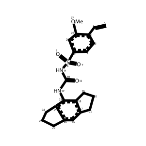 C=Cc1ccc(S(=O)(=O)NC(=O)Nc2c3c(cc4c2CCC4)CCC3)cc1OC